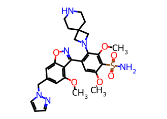 COc1cc(-c2noc3cc(Cn4cccn4)cc(OC)c23)c(N2CC3(CCNCC3)C2)c(OC)c1S(N)(=O)=O